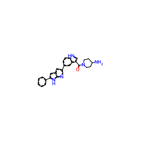 NC1CCN(C(=O)c2c[nH]c3ccc(-c4cnc5[nH]c(-c6ccccc6)cc5c4)cc23)CC1